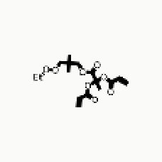 C=CC(=O)OC(C)(OC(=O)C=C)C(=O)OCC(C)(C)COOCC